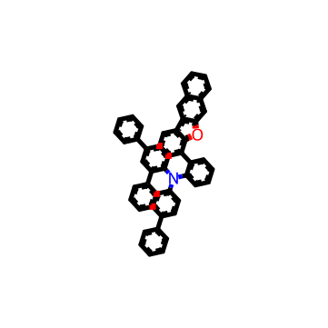 c1ccc(-c2ccc(N(c3ccc(-c4ccccc4)cc3-c3ccccc3)c3ccccc3-c3cccc4c3oc3cc5ccccc5cc34)cc2)cc1